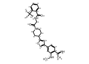 CNc1cc(-c2noc(C3CCN(C(=O)CNC(=O)c4ccccc4C(F)(F)F)CC3)n2)ccc1C(C)=N